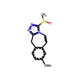 COc1ccc2c(c1)C=Cn1c(nnc1[S+](C)[O-])C2